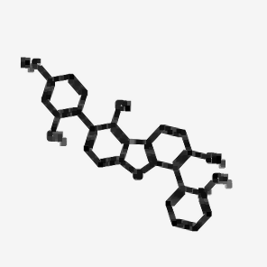 Cc1ccc(-c2ccc3oc4c(-c5cccc[n+]5C)c(C)ccc4c3c2C#N)c(C)c1